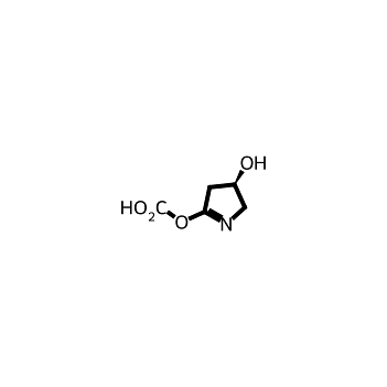 O=C(O)OC1=NC[C@H](O)C1